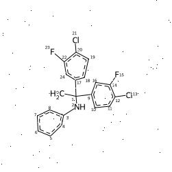 [CH2]C(Nc1ccccc1)(c1ccc(Cl)c(F)c1)c1ccc(Cl)c(F)c1